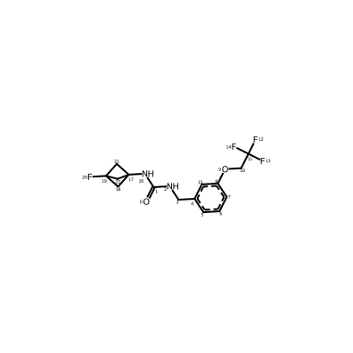 O=C(NCc1cccc(OCC(F)(F)F)c1)NC12CC(F)(C1)C2